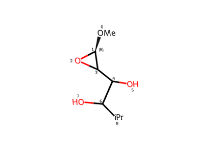 CO[C@@H]1OC1C(O)C(O)C(C)C